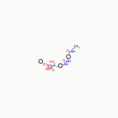 CCCNC(=O)c1ccc(NC(=O)Nc2ccc(C[C@@H](CO)N(C[C@H](O)COc3ccccc3)C(=O)O)cc2)cc1